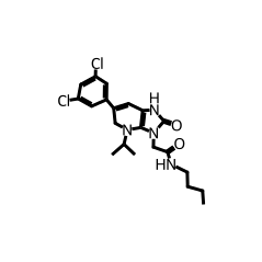 CCCCNC(=O)Cn1c2c([nH]c1=O)C=C(c1cc(Cl)cc(Cl)c1)CN2C(C)C